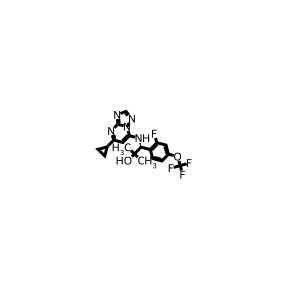 CC(C)(O)[C@H](Nc1cc(C2CC2)nc2ncnn12)c1ccc(OC(F)(F)F)cc1F